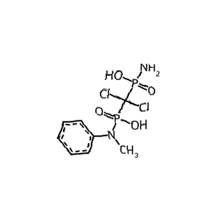 CN(c1ccccc1)P(=O)(O)C(Cl)(Cl)P(N)(=O)O